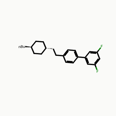 CCCC[C@H]1CC[C@H](CCc2ccc(-c3cc(F)cc(F)c3)cc2)CC1